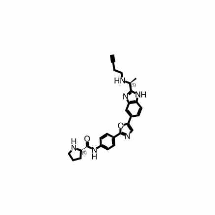 C#CCCN[C@@H](C)c1nc2cc(-c3cnc(-c4ccc(NC(=O)[C@@H]5CCCN5)cc4)o3)ccc2[nH]1